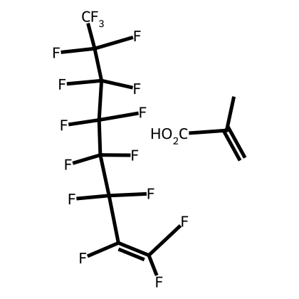 C=C(C)C(=O)O.FC(F)=C(F)C(F)(F)C(F)(F)C(F)(F)C(F)(F)C(F)(F)C(F)(F)F